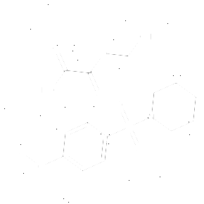 CCOC(=O)C(=O)O.COc1ccc(S(=O)(=O)N2CCCCC2)cc1